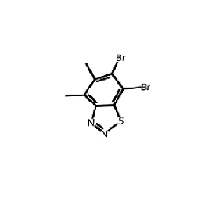 Cc1c(Br)c(Br)c2snnc2c1C